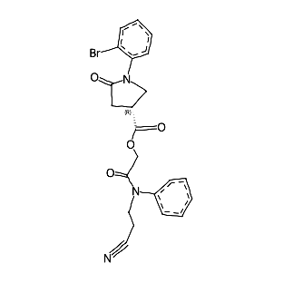 N#CCCN(C(=O)COC(=O)[C@@H]1CC(=O)N(c2ccccc2Br)C1)c1ccccc1